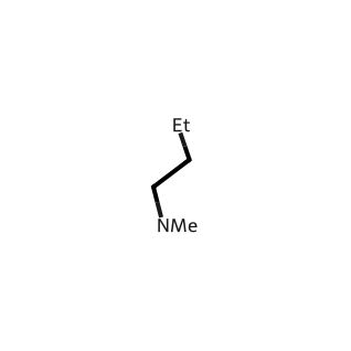 [CH2]NCCCC